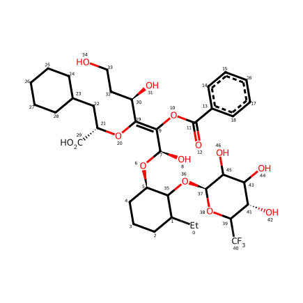 CCC1CCC[C@@H](O[C@H](O)/C(OC(=O)c2ccccc2)=C(\O[C@@H](CC2CCCCC2)C(=O)O)[C@H](O)CCO)C1O[C@@H]1OC(C(F)(F)F)[C@@H](O)C(O)C1O